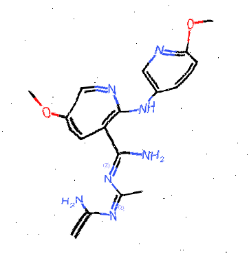 C=C(N)/N=C(C)\N=C(/N)c1cc(OC)cnc1Nc1ccc(OC)nc1